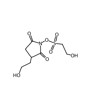 O=C1CC(CCO)C(=O)N1OS(=O)(=O)CCO